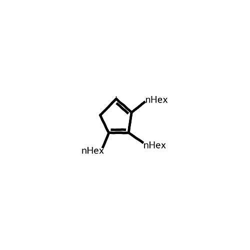 CCCCCCC1=[C]CC(CCCCCC)=C1CCCCCC